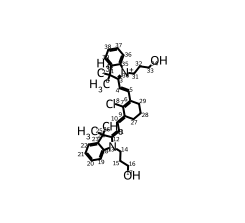 CC1(C)C(/C=C/C2=C(Cl)C(=C/C=C3/N(CCCO)c4ccccc4C3(C)C)/CCC2)=[N+](CCCO)c2ccccc21